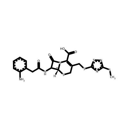 CSc1nsc(SCC2=C(C(=O)O)N3C(=O)C(NC(=O)Cc4ccccc4N)[C@H]3SC2)n1